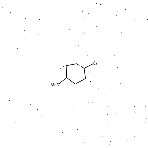 CCC1CCC(SC)CC1